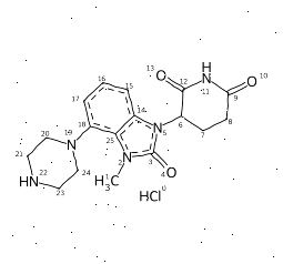 Cl.Cn1c(=O)n(C2CCC(=O)NC2=O)c2cccc(N3CCNCC3)c21